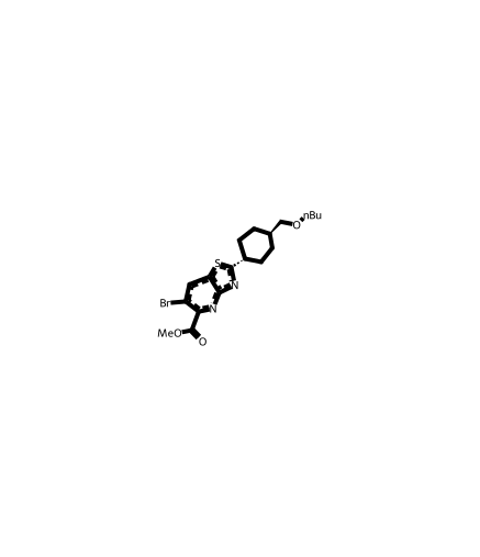 CCCCOC[C@H]1CC[C@H](c2nc3nc(C(=O)OC)c(Br)cc3s2)CC1